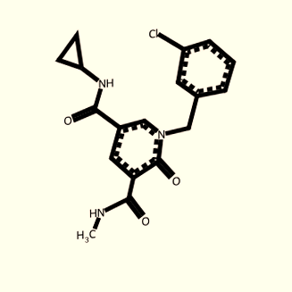 CNC(=O)c1cc(C(=O)NC2CC2)cn(Cc2cccc(Cl)c2)c1=O